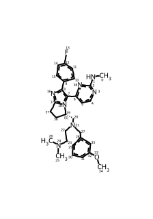 CNc1nccc(-c2c(-c3ccc(F)cc3)nc3n2[C@H](CN(CCN(C)C)Cc2cccc(OC)c2)CC3)n1